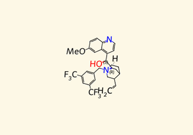 C=CC1C[N+]2(Cc3cc(C(F)(F)F)cc(C(F)(F)F)c3)CCC1C[C@@H]2[C@@H](O)c1ccnc2ccc(OC)cc12